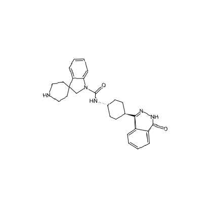 O=C(N[C@H]1CC[C@H](c2n[nH]c(=O)c3ccccc32)CC1)N1CC2(CCNCC2)c2ccccc21